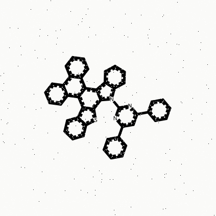 c1ccc(-c2cc(-c3ccccc3)nc(-n3c4ccccc4c4c5c6ccccc6c6ccccc6c5c5c6ccccc6sc5c43)n2)cc1